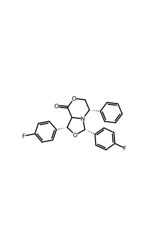 O=C1OC[C@H](c2ccccc2)N2C1[C@@H](c1ccc(F)cc1)O[C@H]2c1ccc(F)cc1